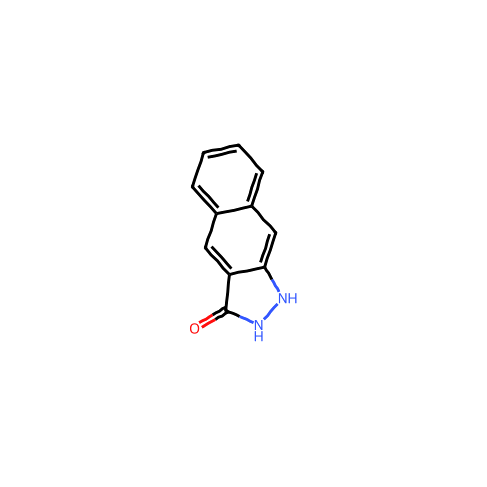 O=c1[nH][nH]c2cc3ccccc3cc12